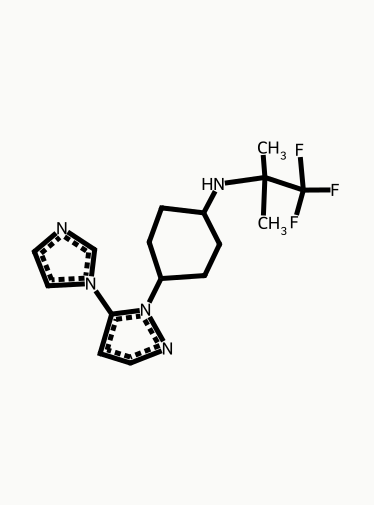 CC(C)(NC1CCC(n2nccc2-n2ccnc2)CC1)C(F)(F)F